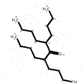 CCCCC(CCCC)C(=O)C(CCCC)CCCC